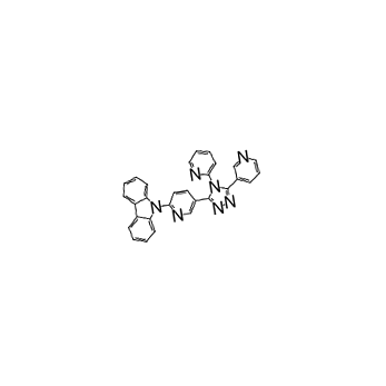 c1ccc(-n2c(-c3cccnc3)nnc2-c2ccc(-n3c4ccccc4c4ccccc43)nc2)nc1